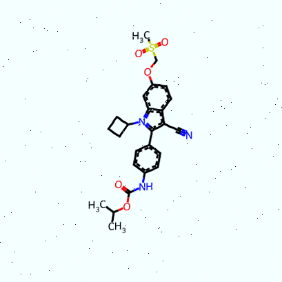 CC(C)OC(=O)Nc1ccc(-c2c(C#N)c3ccc(OCS(C)(=O)=O)cc3n2C2CCC2)cc1